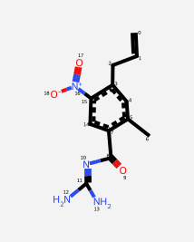 C=CCc1cc(C)c(C(=O)N=C(N)N)cc1[N+](=O)[O-]